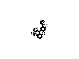 O=C1CCCC2=C1C(c1ccc(F)c(-c3cccs3)c1)C1=C(CCS1)N2